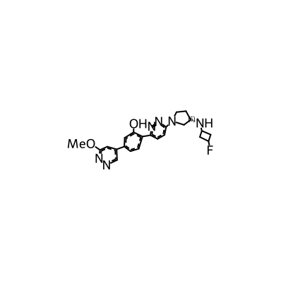 COc1cc(-c2ccc(-c3ccc(N4CC[C@H](NC5CC(F)C5)C4)nn3)c(O)c2)cnn1